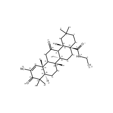 CC1(C)CC[C@]2(C(=O)NCC(F)(F)F)CC[C@]3(C)C(C(=O)CC4[C@@]5(C)C=C(C#N)C(=O)C(C)(C)[C@@H]5CC[C@]43C)[C@@H]2C1